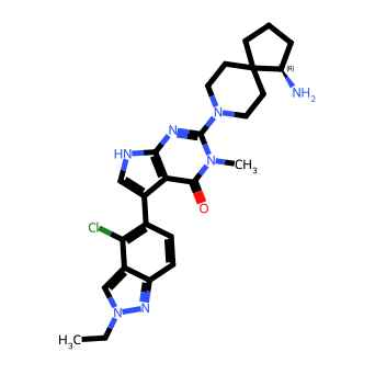 CCn1cc2c(Cl)c(-c3c[nH]c4nc(N5CCC6(CCC[C@H]6N)CC5)n(C)c(=O)c34)ccc2n1